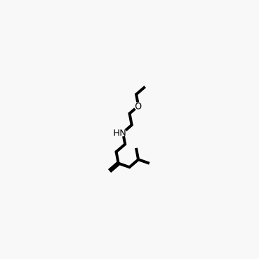 C=C(CCNCCOCC)CC(C)C